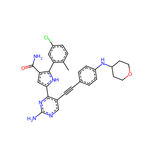 Cc1ccc(Cl)cc1-c1[nH]c(-c2nc(N)ncc2C#Cc2ccc(NC3CCOCC3)cc2)cc1C(N)=O